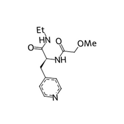 CCNC(=O)[C@H](Cc1ccncc1)NC(=O)COC